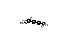 O=C1NCCC1c1ccc(-c2ccc(-c3cc4nc(O)[nH]c4cc3Cl)cc2)cc1